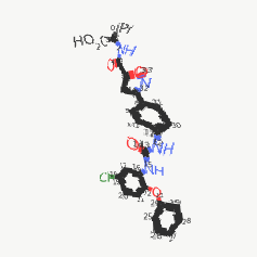 CC(C)C(NC(=O)c1cc(-c2ccc(NC(=O)Nc3cc(Cl)ccc3Oc3ccccc3)cc2)no1)C(=O)O